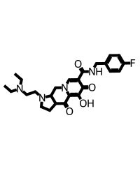 CCN(CC)CCN1CCC2C(=O)c3c(O)c(=O)c(C(=O)NCc4ccc(F)cc4)cn3CC21